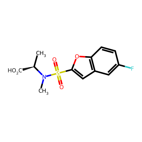 C[C@H](C(=O)O)N(C)S(=O)(=O)c1cc2cc(F)ccc2o1